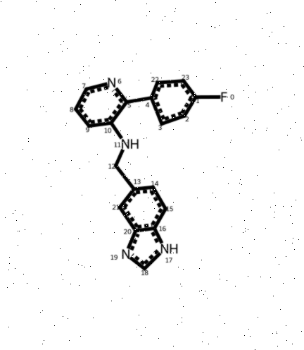 Fc1ccc(-c2ncccc2NCc2ccc3[nH]cnc3c2)cc1